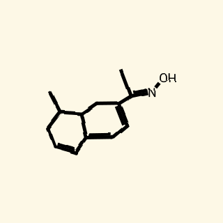 C/C(=N\O)C1=CC=C2C=CCC(C)C2C1